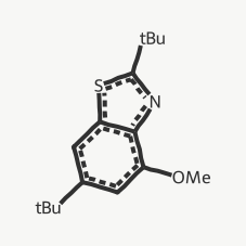 COc1cc(C(C)(C)C)cc2sc(C(C)(C)C)nc12